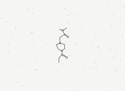 CCC(=O)N1CCN(CC(=O)N(C)C)CC1